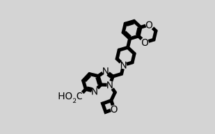 O=C(O)c1ccc2nc(CN3CCC(c4cccc5c4OCCO5)CC3)n(CC3CCO3)c2n1